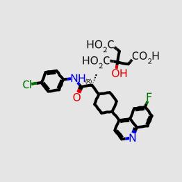 C[C@@H](C(=O)Nc1ccc(Cl)cc1)C1CCC(c2ccnc3ccc(F)cc23)CC1.O=C(O)CC(O)(CC(=O)O)C(=O)O